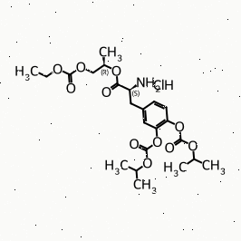 CCOC(=O)OC[C@@H](C)OC(=O)[C@@H](N)Cc1ccc(OC(=O)OC(C)C)c(OC(=O)OC(C)C)c1.Cl